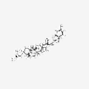 CCOC[C@@]1(O)CC[C@H]2[C@@H](CC[C@@H]3[C@@H]2CC[C@]2(C)[C@@H](C(=O)Cn4nc5ccc(F)cc5n4)CC[C@@H]32)C1